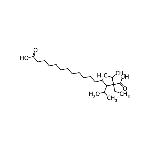 CCC(C(=O)O)(C(C)C)C(CCCCCCCCCCCCC(=O)O)C(C)C